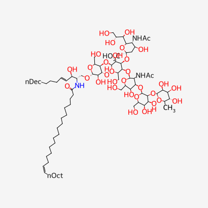 CCCCCCCC/C=C\CCCCCCCCCCCCCCCC(=O)N[C@@H](CO[C@@H]1OC(CO)[C@@H](O[C@@H]2OC(CO)[C@H](O[C@@H]3OC(CO)[C@H](O)[C@H](O[C@@H]4OC(CO)[C@H](O)[C@H](O)C4O[C@H]4OC(C)[C@@H](O)C(O)[C@@H]4O)C3NC(C)=O)[C@H](O[C@]3(C(=O)O)CC(O)[C@@H](NC(C)=O)C([C@H](O)[C@H](O)CO)O3)C2O)[C@H](O)C1O)[C@H](O)/C=C/CCCCCCCCCCCCC